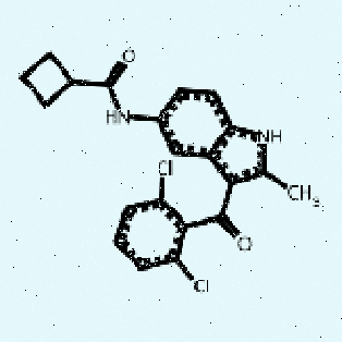 Cc1[nH]c2ccc(NC(=O)C3CCC3)cc2c1C(=O)c1c(Cl)cccc1Cl